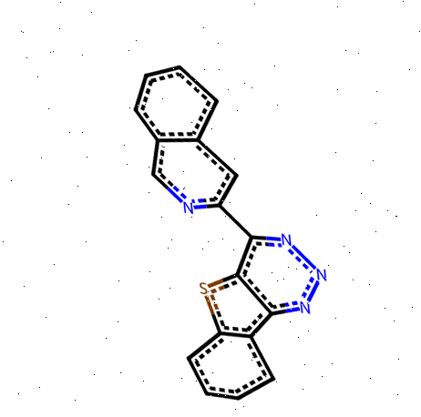 c1ccc2cc(-c3nnnc4c3sc3ccccc34)ncc2c1